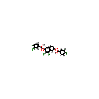 O=C(Oc1ccc2cc(OC(=O)c3ccc(F)c(F)c3)c(F)c(F)c2c1)c1ccc(F)c(F)c1